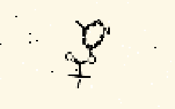 Cc1cncc(OC(=O)C(C)(C)C)c1